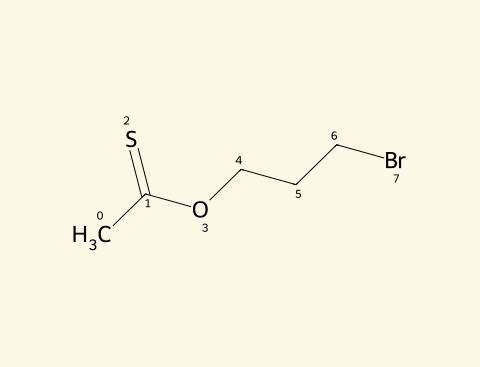 CC(=S)OCCCBr